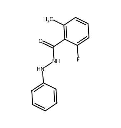 Cc1cccc(F)c1C(=O)NNc1ccccc1